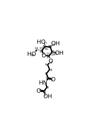 O=C(O)CNC(=O)CCCO[C@@H]1O[C@H](CO)[C@H](O)[C@H](O)[C@H]1O